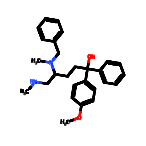 CNCC(CCC(O)(c1ccccc1)c1ccc(OC)cc1)N(C)Cc1ccccc1